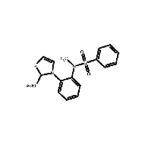 CC(=O)NC1SC=CN1c1ccccc1N(C(F)(F)F)S(=O)(=O)c1ccccc1